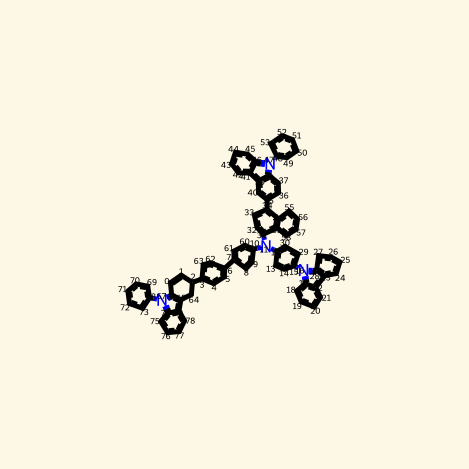 C1=CC(c2ccc(-c3ccc(N(c4ccc(-n5c6ccccc6c6ccccc65)cc4)c4ccc(-c5ccc6c(c5)c5ccccc5n6-c5ccccc5)c5ccccc45)cc3)cc2)Cc2c1n(-c1ccccc1)c1ccccc21